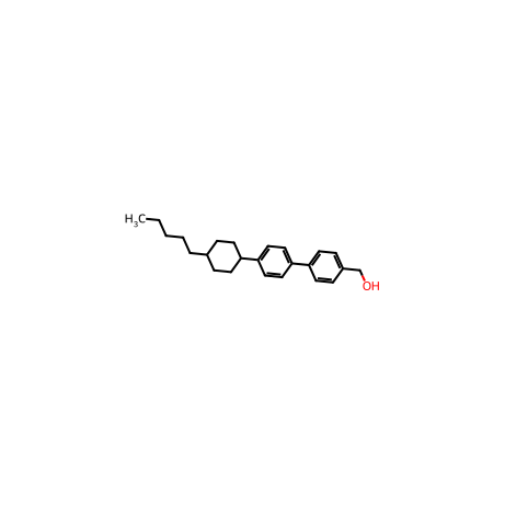 CCCCCC1CCC(c2ccc(-c3ccc(CO)cc3)cc2)CC1